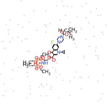 CCOP(=O)(OCC)C(NC(=O)COC(=O)c1cn(C2CC2)c2cc(N3CCN(C(=O)OC(C)(C)C)CC3)c(F)cc2c1=O)P(=O)(OCC)OCC